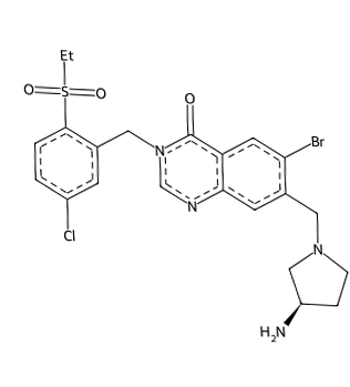 CCS(=O)(=O)c1ccc(Cl)cc1Cn1cnc2cc(CN3CC[C@@H](N)C3)c(Br)cc2c1=O